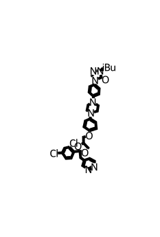 CCC(C)n1ncn(-c2ccc(N3CCN(c4ccc(OCC5COC(Cc6ccnnc6)(c6ccc(Cl)cc6Cl)O5)cc4)CC3)cc2)c1=O